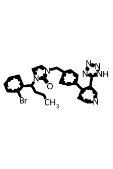 CCCC(c1ccccc1Br)n1ccn(Cc2ccc(-c3ccncc3-c3nnn[nH]3)cc2)c1=O